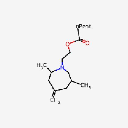 C=C1CC(C)CN(CCOC(=O)CCCCC)C(C)C1